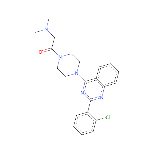 CN(C)CC(=O)N1CCN(c2nc(-c3ccccc3Cl)nc3ccccc23)CC1